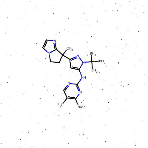 BC(B)(B)n1nc(C2(C)CCn3ccnc32)cc1Nc1ncc(C(F)(F)F)c(NC)n1